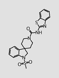 CS(=O)(=O)N1CC2(CCN(C(=O)Nc3nc4ccccc4s3)CC2)c2ccccc21